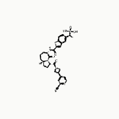 N#Cc1cc(C2CN(C(=O)[C@@H]3CC[C@@H]4CCC[C@H](NC(=O)c5cc6cc(C(F)P(=O)(O)O)ccc6s5)C(=O)N43)C2)ccn1